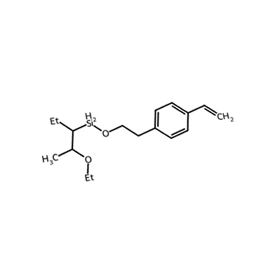 C=Cc1ccc(CCO[SiH2]C(CC)C(C)OCC)cc1